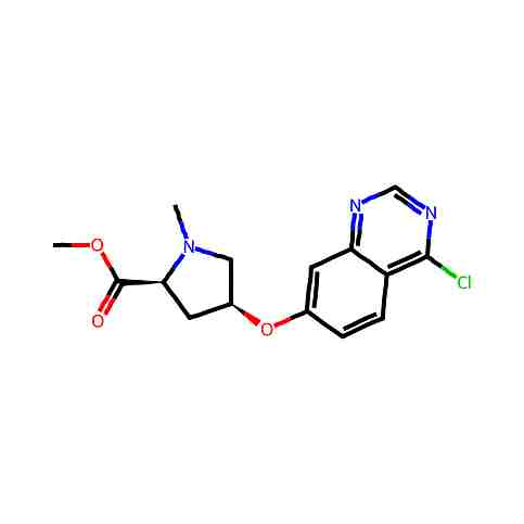 COC(=O)[C@@H]1C[C@H](Oc2ccc3c(Cl)ncnc3c2)CN1C